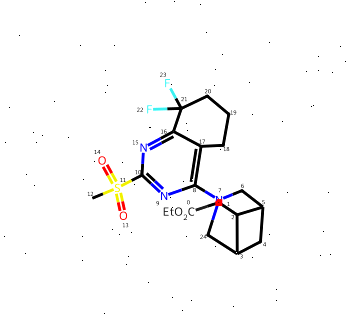 CCOC(=O)CC1C2CC1CN(c1nc(S(C)(=O)=O)nc3c1CCCC3(F)F)C2